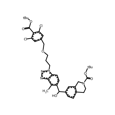 Cc1c(C(O)c2ccc3c(c2)CN(C(=O)OC(C)(C)C)CC3)ccc2c1nnn2CCCOCc1cc(Cl)c(C(=O)OC(C)(C)C)c(Cl)c1